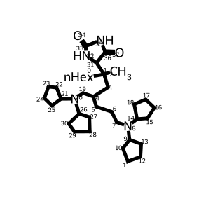 CCCCCCC(C)(CC(CCCN(C1CCCC1)C1CCCC1)CN(C1CCCC1)C1CCCC1)C1NC(=O)NC1=O